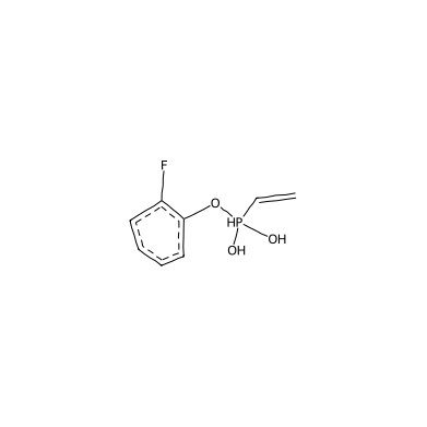 C=C[PH](O)(O)Oc1ccccc1F